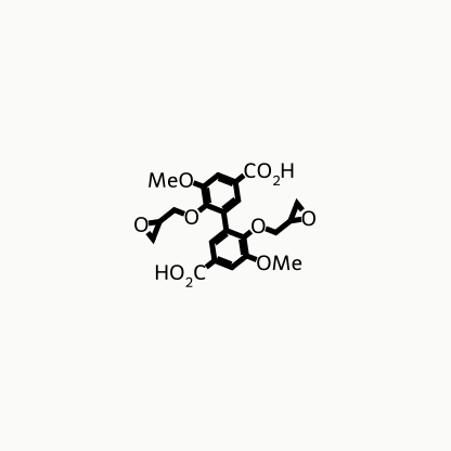 COc1cc(C(=O)O)cc(-c2cc(C(=O)O)cc(OC)c2OCC2CO2)c1OCC1CO1